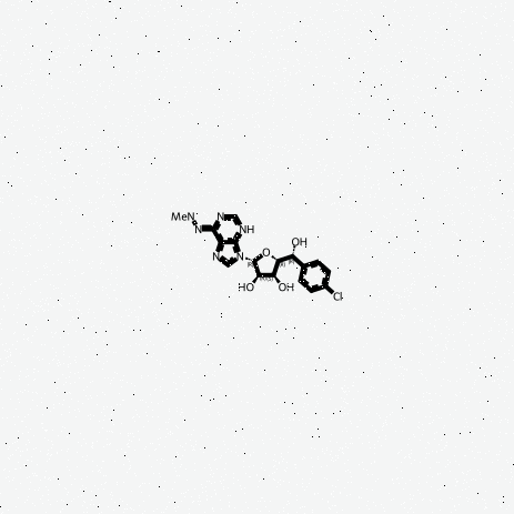 CNN=c1nc[nH]c2c1ncn2[C@@H]1O[C@H]([C@H](O)c2ccc(Cl)cc2)[C@@H](O)[C@H]1O